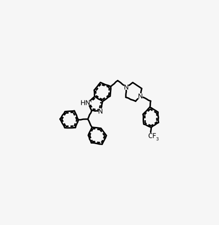 FC(F)(F)c1ccc(CN2CCN(Cc3ccc4[nH]c(C(c5ccccc5)c5ccccc5)nc4c3)CC2)cc1